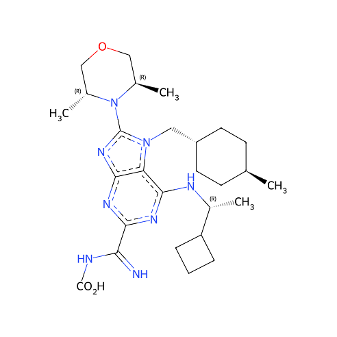 C[C@@H]1COC[C@@H](C)N1c1nc2nc(C(=N)NC(=O)O)nc(N[C@H](C)C3CCC3)c2n1C[C@H]1CC[C@H](C)CC1